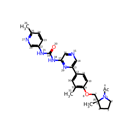 CC(=O)N1CCC[C@]1(C)COc1ccc(-c2cncc(NC(=O)Nc3ccc(C)nc3)n2)cc1C